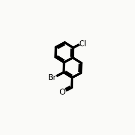 O=Cc1ccc2c(Cl)cccc2c1Br